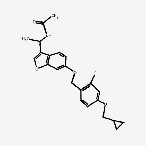 CC(=O)NC(C)c1coc2cc(OCc3ccc(OCC4CC4)cc3F)ccc12